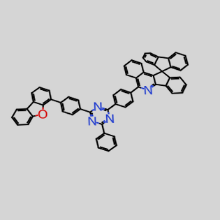 c1ccc(-c2nc(-c3ccc(-c4nc5c(c6ccccc46)C4(c6ccccc6-c6ccccc64)c4ccccc4-5)cc3)nc(-c3ccc(-c4cccc5c4oc4ccccc45)cc3)n2)cc1